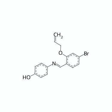 C=CCOc1cc(Br)ccc1C=Nc1ccc(O)cc1